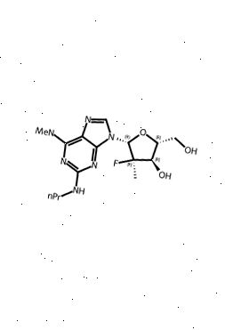 CCCNc1nc(NC)c2ncn([C@@H]3O[C@H](CO)[C@@H](O)[C@@]3(C)F)c2n1